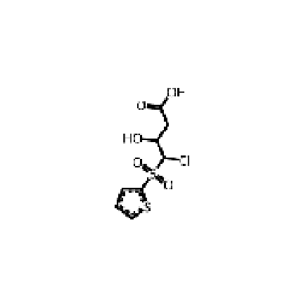 O=C(O)CC(O)C(Cl)S(=O)(=O)c1cccs1